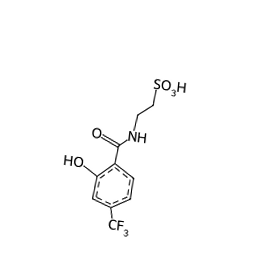 O=C(NCCS(=O)(=O)O)c1ccc(C(F)(F)F)cc1O